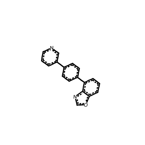 c1cncc(-c2ccc(-c3cccc4ocnc34)cc2)c1